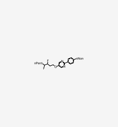 CCCCCCCCCc1ccc(-c2ncc(OCCC(F)C(F)CCCCC)cn2)cc1